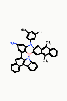 Cc1c2ccccc2c(C)c2cc3c(cc12)B1c2c(cc(N)cc2N3c2cc(C(C)(C)C)cc(C(C)(C)C)c2)-c2cc3ccccc3c3c4ccccc4n1c23